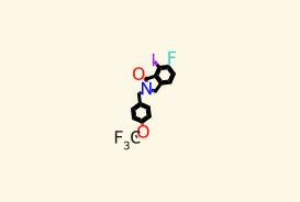 O=C1c2c(ccc(F)c2I)CN1Cc1ccc(OC(F)(F)F)cc1